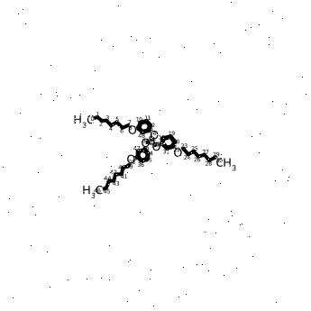 CCCCCCCCOc1cccc(OB(Oc2cccc(OCCCCCCCC)c2)Oc2cccc(OCCCCCCCC)c2)c1